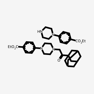 CCOC(=O)c1ccc(N2CCN(CC(=O)C34CC5CC(CC(C5)C3)C4)CC2)cc1.CCOC(=O)c1ccc(N2CCNCC2)cc1